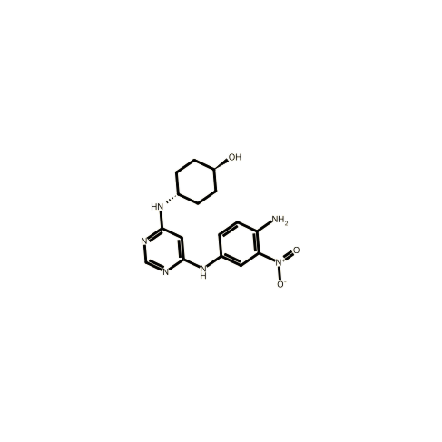 Nc1ccc(Nc2cc(N[C@H]3CC[C@H](O)CC3)ncn2)cc1[N+](=O)[O-]